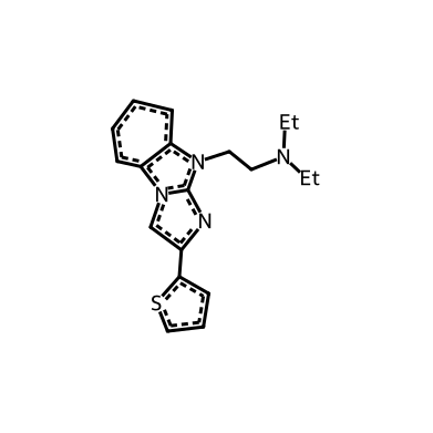 CCN(CC)CCn1c2ccccc2n2cc(-c3cccs3)nc12